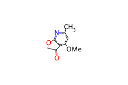 COc1cc(C)nc2c1C(=O)CO2